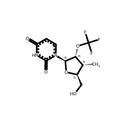 C[C@H]1[C@@H](OC(F)(F)F)[C@H](n2ccc(=O)[nH]c2=O)O[C@@H]1CO